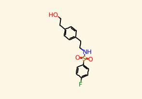 O=S(=O)(NCCc1ccc(CCO)cc1)c1ccc(F)cc1